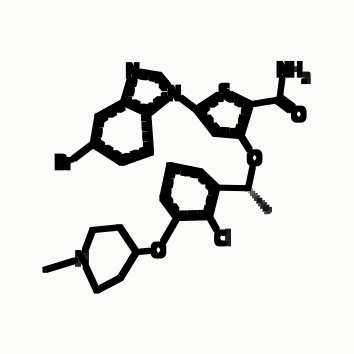 C[C@@H](Oc1cc(-n2cnc3cc(Br)ccc32)sc1C(N)=O)c1cccc(OC2CCN(C)CC2)c1Cl